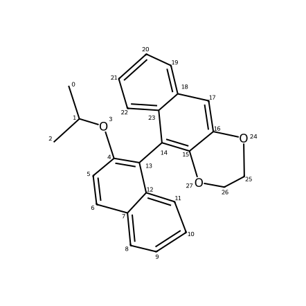 CC(C)Oc1ccc2ccccc2c1-c1c2c(cc3ccccc13)OCCO2